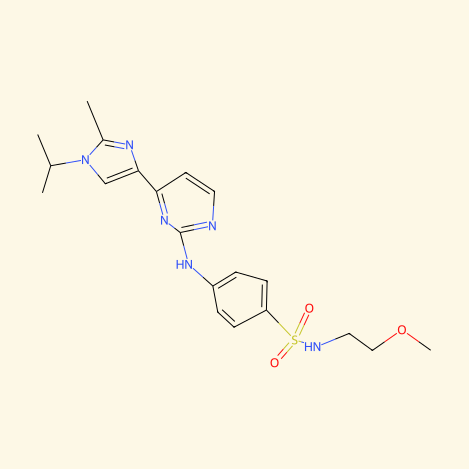 COCCNS(=O)(=O)c1ccc(Nc2nccc(-c3cn(C(C)C)c(C)n3)n2)cc1